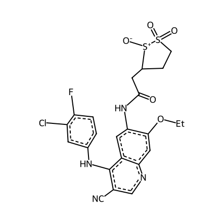 CCOc1cc2ncc(C#N)c(Nc3ccc(F)c(Cl)c3)c2cc1NC(=O)CC1CCS(=O)(=O)[S+]1[O-]